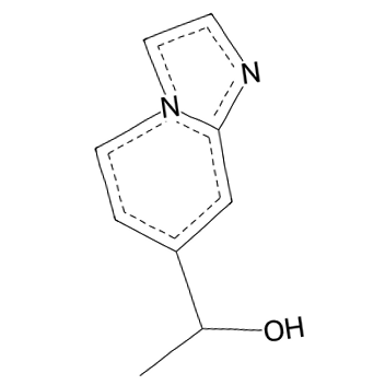 CC(O)c1ccn2ccnc2c1